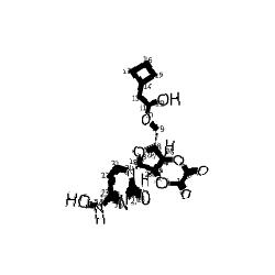 O=C1O[C@@H]2[C@H](OC1=O)[C@@H](COC(O)CC1CCC1)O[C@H]2n1ccc(NO)nc1=O